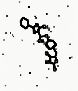 Cc1oc(C2CCCCC2)nc1C(C)Oc1ccc(CC2OC(=O)NC2=O)cc1